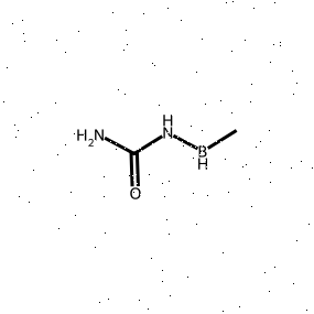 CBNC(N)=O